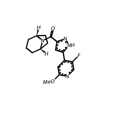 COc1cc(-c2cc(C(=O)N3[C@@H]4CCC[C@H]3CC4)n[nH]2)c(F)cn1